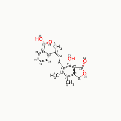 CC(=CCc1c(C)c(C)c2c(c1O)C(=O)OC2)c1ccccc1C(=O)O